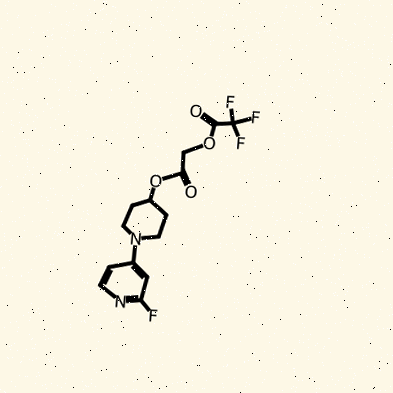 O=C(COC(=O)C(F)(F)F)OC1CCN(c2ccnc(F)c2)CC1